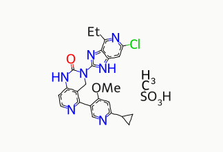 CCc1nc(Cl)cc2[nH]c(N3Cc4c(ccnc4-c4cnc(C5CC5)cc4OC)NC3=O)nc12.CS(=O)(=O)O